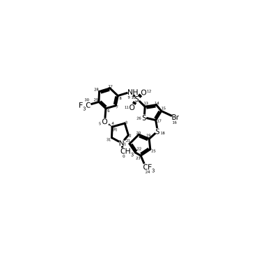 CN1CC[C@@H](Oc2cc(NS(=O)(=O)c3cc(Br)c(Sc4cccc(C(F)(F)F)c4)s3)ccc2C(F)(F)F)C1